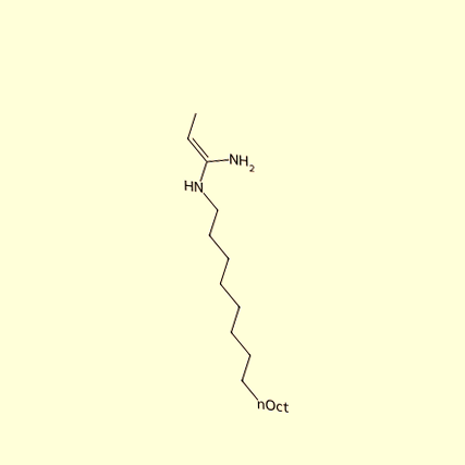 CC=C(N)NCCCCCCCCCCCCCCCC